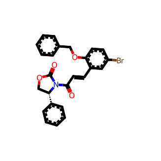 O=C(C=Cc1cc(Br)ccc1OCc1ccccc1)N1C(=O)OC[C@H]1c1ccccc1